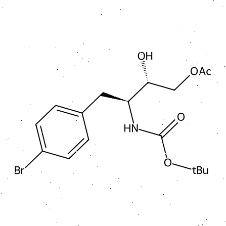 CC(=O)OC[C@@H](O)[C@H](Cc1ccc(Br)cc1)NC(=O)OC(C)(C)C